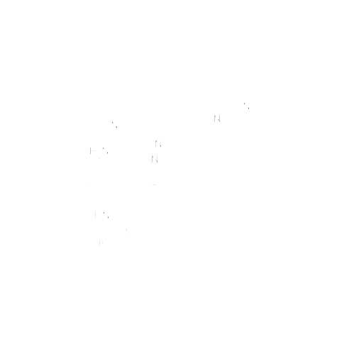 COc1cc(-c2nn(C3CCC(N4CCN(C)CC4)CC3)c3ccnc(N)c23)c(F)cc1NC(=O)O